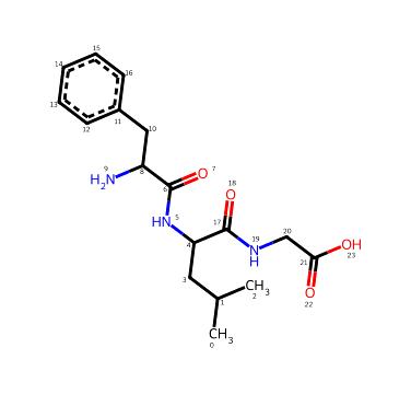 CC(C)CC(NC(=O)C(N)Cc1ccccc1)C(=O)NCC(=O)O